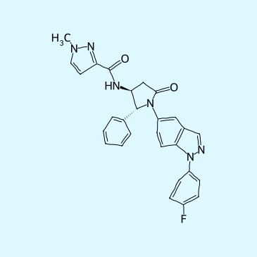 Cn1ccc(C(=O)N[C@H]2CC(=O)N(c3ccc4c(cnn4-c4ccc(F)cc4)c3)[C@@H]2c2ccccc2)n1